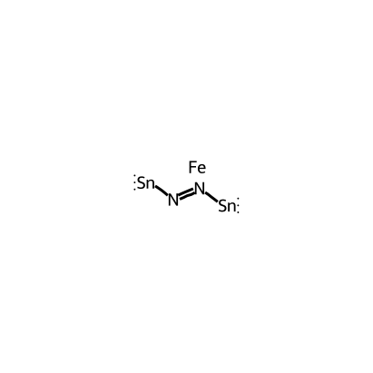 [Fe].[Sn][N]=[N][Sn]